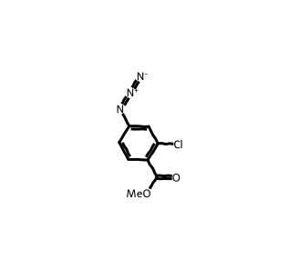 COC(=O)c1ccc(N=[N+]=[N-])cc1Cl